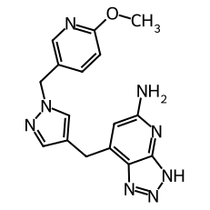 COc1ccc(Cn2cc(Cc3cc(N)nc4[nH]nnc34)cn2)cn1